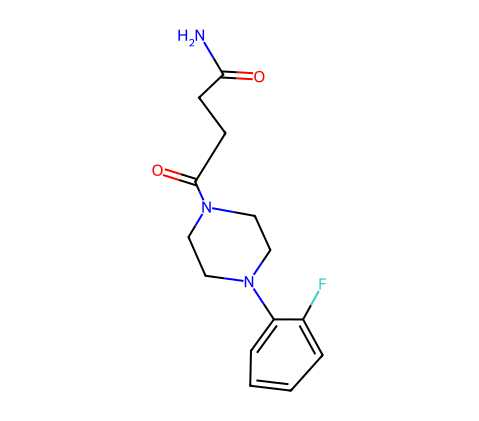 NC(=O)CCC(=O)N1CCN(c2ccccc2F)CC1